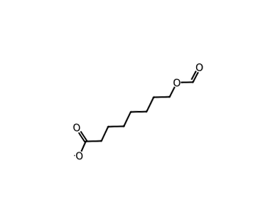 [O]C(=O)CCCCCCCOC=O